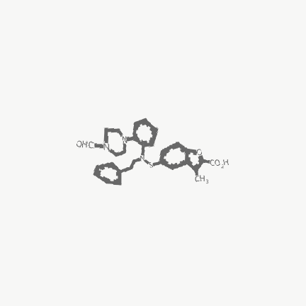 Cc1c(C(=O)O)oc2ccc(SN(CCc3ccccc3)c3ccccc3N3CCN(C=O)CC3)cc12